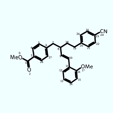 COC(=O)c1ccc(CC(/C=C/c2ccccc2OC)CCc2ccc(C#N)cc2)cc1